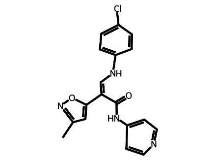 Cc1cc(/C(=C/Nc2ccc(Cl)cc2)C(=O)Nc2ccncc2)on1